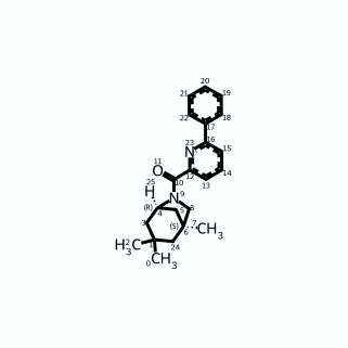 CC1(C)C[C@@H]2C[C@@](C)(CN2C(=O)c2cccc(-c3ccccc3)n2)C1